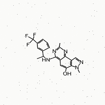 Cc1nc(NC(C)c2cccc(C(F)(F)F)c2)c2cc(O)c3c(cnn3C)c2n1